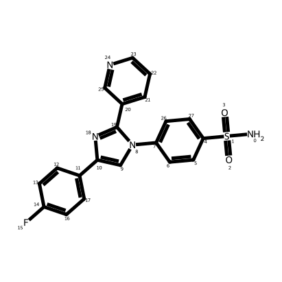 NS(=O)(=O)c1ccc(-n2cc(-c3ccc(F)cc3)nc2-c2cccnc2)cc1